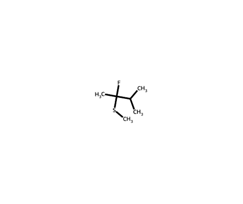 CSC(C)(F)C(C)C